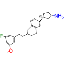 COc1cc(F)cc(CCC2CCc3cc([C@H]4CCC(N)C4)ccc3C2)c1